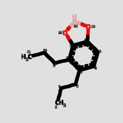 CCCc1ccc2c(c1CCC)OBO2